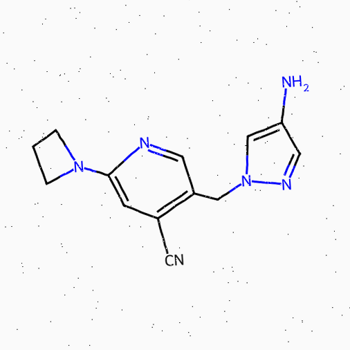 N#Cc1cc(N2CCC2)ncc1Cn1cc(N)cn1